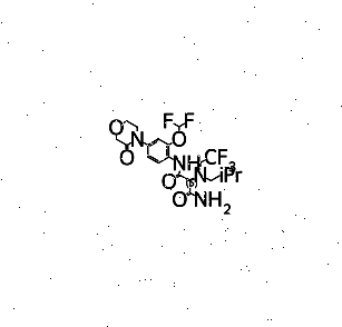 CC(C)CN(CC(F)(F)F)[C@@H](C(N)=O)C(=O)Nc1ccc(N2CCOCC2=O)cc1OC(F)F